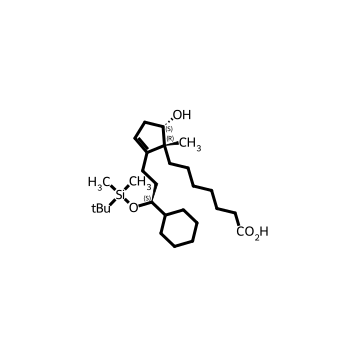 CC(C)(C)[Si](C)(C)O[C@@H](CCC1=CC[C@H](O)[C@]1(C)CCCCCCC(=O)O)C1CCCCC1